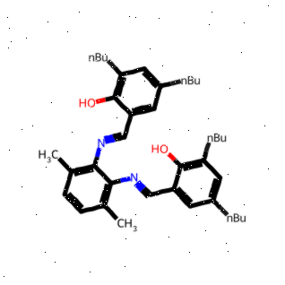 CCCCc1cc(/C=N/c2c(C)ccc(C)c2/N=C/c2cc(CCCC)cc(CCCC)c2O)c(O)c(CCCC)c1